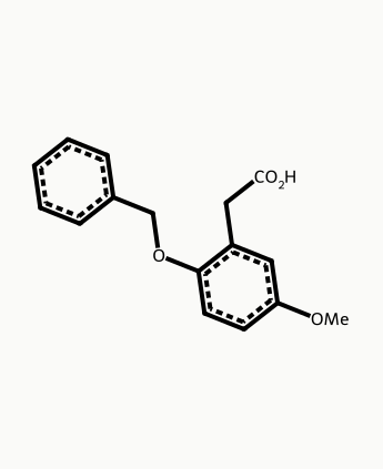 COc1ccc(OCc2ccccc2)c(CC(=O)O)c1